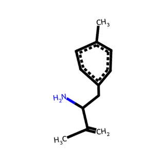 C=C(C)C(N)Cc1ccc(C)cc1